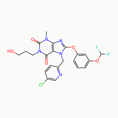 Cn1c(=O)n(CCCO)c(=O)c2c1nc(Oc1cccc(OC(F)F)c1)n2Cc1ccc(Cl)cn1